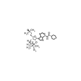 C[C@H]1[C@@H](O[Si](C)(C)C(C)(C)C)[C@H](n2cnc3c(NC(=O)c4ccccc4)ncnc32)O[C@@H]1CCP(C)(C)=O